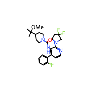 COC(C)(C)C1CCN(C(=O)Nc2c(-c3ccccc3F)ccnc2N2CCC(F)(F)C2)CC1